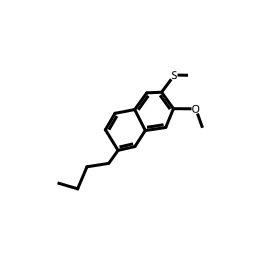 CCCCc1ccc2cc(SC)c(OC)cc2c1